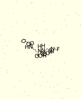 COC(=O)[C@H](Cc1cn(CCF)nn1)NC(=O)N[C@@H](CCCCNC(=O)OCc1ccccc1)C(=O)O